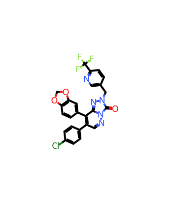 O=c1n(Cc2ccc(C(F)(F)F)nc2)nc2c(-c3ccc4c(c3)OCO4)c(-c3ccc(Cl)cc3)cnn12